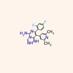 Cc1cc(-c2c(-c3ccc(F)cc3F)nc(N)n(C=N)c2=N)cc(C)n1